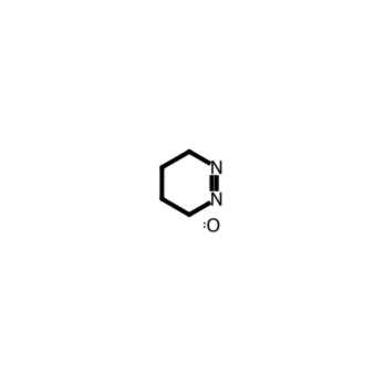 C1CCN=NC1.[O]